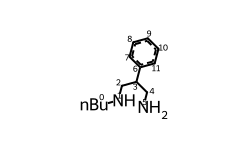 CCCCNCC(CN)c1ccccc1